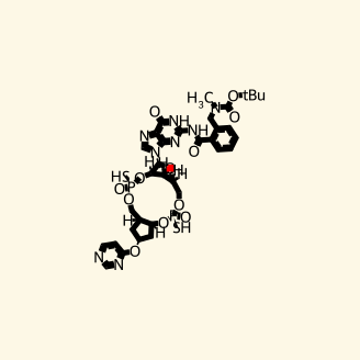 CN(Cc1ccccc1C(=O)Nc1nc2c(ncn2[C@@H]2O[C@@H]3CO[P@@](=O)(S)O[C@H]4C[C@H](Oc5ccncn5)C[C@@H]4CO[P@@](=O)(S)O[C@@H]2[C@@H]3O)c(=O)[nH]1)C(=O)OC(C)(C)C